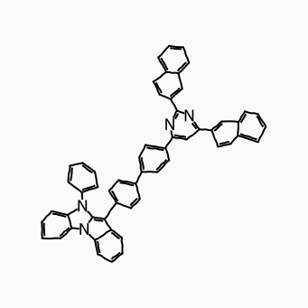 c1ccc(-n2c3ccccc3n3c4ccccc4c(-c4ccc(-c5ccc(-c6cc(-c7ccc8ccccc8c7)nc(-c7ccc8ccccc8c7)n6)cc5)cc4)c23)cc1